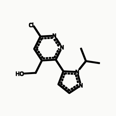 CC(C)n1nccc1-c1nnc(Cl)cc1CO